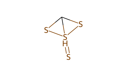 S=[SH]12SC1S2